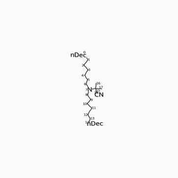 CCCCCCCCCCCCCCCCN(CCCCCCCCCCCCCCCC)C(C)(C)C#N